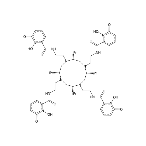 CC(C)[C@H]1CN(CCNC(=O)c2cccc(=O)n2O)[C@@H](C(C)C)CN(CCNC(=O)c2cccc(=O)n2O)[C@@H](C(C)C)CN(CCNC(=O)c2cccc(=O)n2O)[C@@H](C(C)C)CN1CCNC(=O)c1cccc(=O)n1O